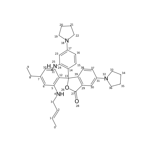 CC=CCNc1cc(CC)ccc1C1(c2ccc(N3CCCC3)cc2N)OC(=O)c2cc(N3CCCC3)ccc21